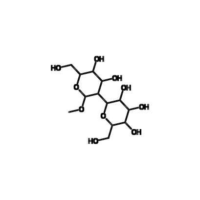 COC1OC(CO)C(O)C(O)C1C1OC(CO)C(O)C(O)C1O